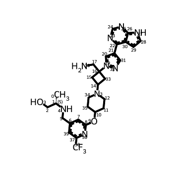 C[C@@H](CO)NCc1cc(OC2CCN(C3CC(CN)(n4cc(-c5ncnc6[nH]ccc56)cn4)C3)CC2)nc(C(F)(F)F)c1